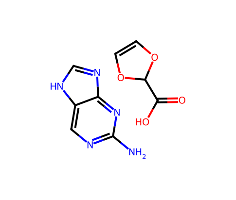 Nc1ncc2[nH]cnc2n1.O=C(O)C1OC=CO1